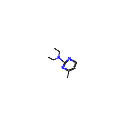 CCN(CC)c1nc[c]c(C)n1